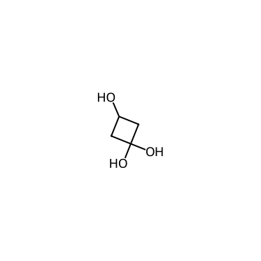 OC1CC(O)(O)C1